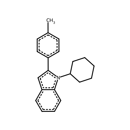 Cc1ccc(-c2cc3ccccc3n2C2CCCCC2)cc1